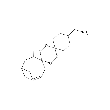 CC1C=C2CC(C2)CC(C)C12OOC1(CCC(CN)CC1)OO2